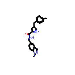 Cc1ccc(CC2CNC(C(=O)NCc3ccc4c(cnn4C)c3)C2)cc1